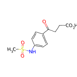 CS(=O)(=O)Nc1ccc(C(=O)CCC(=O)O)cc1